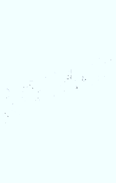 CNC(=O)c1cccc(NC(=O)c2ccc(NC(=O)N3Cc4ccccc4C3)cc2)c1